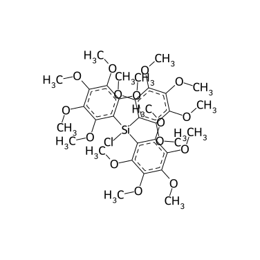 COc1c(OC)c(OC)c([Si](Cl)(c2c(OC)c(OC)c(OC)c(OC)c2OC)c2c(OC)c(OC)c(OC)c(OC)c2OC)c(OC)c1OC